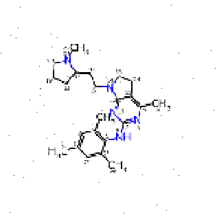 Cc1cc(C)c(Nc2nc(C)c3c(n2)N(CCC2CCCN2C)CC3)c(C)c1